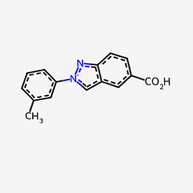 Cc1cccc(-n2cc3cc(C(=O)O)ccc3n2)c1